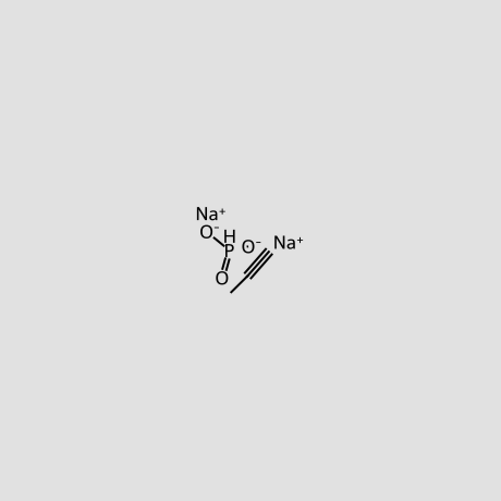 C#CC.O=[PH]([O-])[O-].[Na+].[Na+]